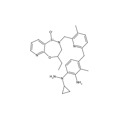 CCC1CN(Cc2nc(Cc3ccc(N(N)C4CC4)c(N)c3C)ccc2C)[S+]([O-])c2cccnc2O1